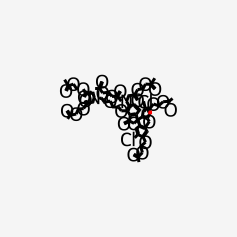 CC(=O)OCOC(=O)CN(CCOCCOc1c(N(CC(=O)OCOC(C)=O)CC(=O)OCOC(C)=O)ccc2c1C(=O)OC21c2cc(Cl)c(OCOC(C)=O)cc2Oc2cc(OCOC(C)=O)c(Cl)cc21)CC(=O)OCOC(C)=O